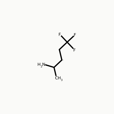 CC(N)[CH]CC(F)(F)F